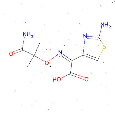 CC(C)(O/N=C(\C(=O)O)c1csc(N)n1)C(N)=O